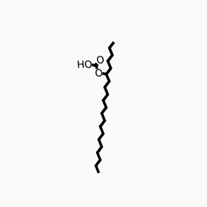 CCCCCCCCCCCCCCCC(CCCCC)OC(=O)O